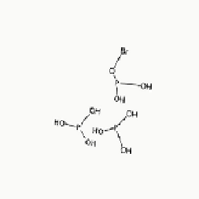 OP(O)O.OP(O)O.OP(O)OBr